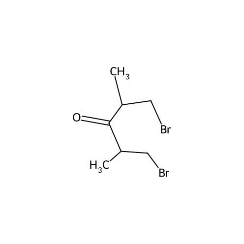 CC(CBr)C(=O)C(C)CBr